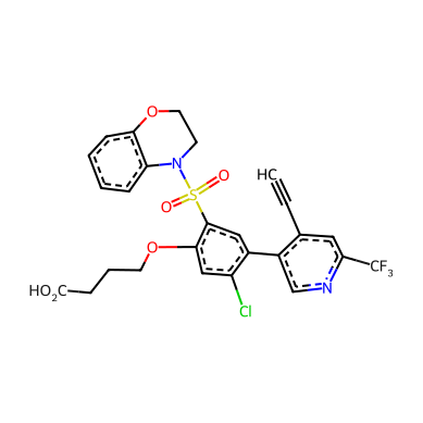 C#Cc1cc(C(F)(F)F)ncc1-c1cc(S(=O)(=O)N2CCOc3ccccc32)c(OCCCC(=O)O)cc1Cl